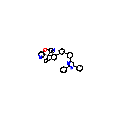 c1ccc(-c2cc(-c3cccc(-c4cccc(-c5ccc6c(c5)C5(c7cnccc7Oc7ccncc75)c5ccccc5-6)c4)c3)nc(-c3ccccc3)n2)cc1